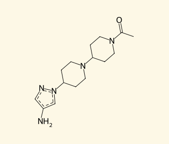 CC(=O)N1CCC(N2CCC(n3cc(N)cn3)CC2)CC1